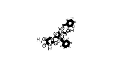 Cc1cn([C@@H]2O[C@H](COCc3ccccc3)[C@@](CCO)(OCc3ccccc3)[C@H]2O)c(=O)[nH]c1=O